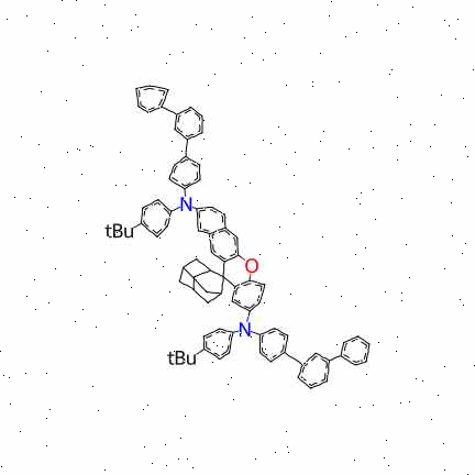 CC(C)(C)c1ccc(N(c2ccc(-c3cccc(-c4ccccc4)c3)cc2)c2ccc3c(c2)C2(c4cc5cc(N(c6ccc(-c7cccc(-c8ccccc8)c7)cc6)c6ccc(C(C)(C)C)cc6)ccc5cc4O3)C3CC4CC(C3)CC2C4)cc1